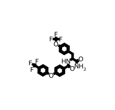 NC(=O)C(Cc1ccc(OC(F)(F)F)cc1)NC(=O)c1ccc(Oc2ccc(C(F)(F)F)cc2)cc1